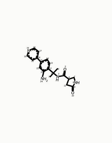 CC(C)(NC(=O)C1CNC(=O)C1)c1ccc(-c2ccncc2)cc1N